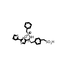 O=S(=O)(O)Cc1ccc(C[C@H](NS(=O)(=O)Cc2ccccc2)c2csc(-c3cccs3)n2)cc1